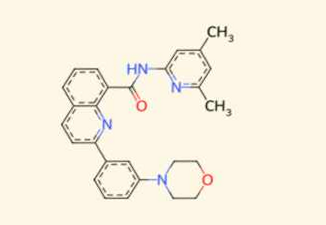 Cc1cc(C)nc(NC(=O)c2cccc3ccc(-c4cccc(N5CCOCC5)c4)nc23)c1